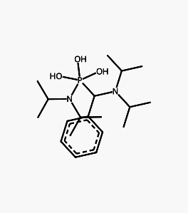 CC(C)N(C(C)C)C(c1ccccc1)P(O)(O)(O)N(C(C)C)C(C)C